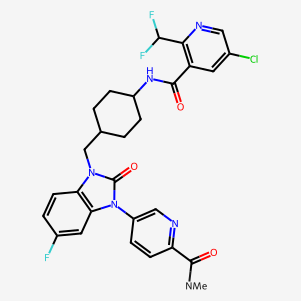 CNC(=O)c1ccc(-n2c(=O)n(CC3CCC(NC(=O)c4cc(Cl)cnc4C(F)F)CC3)c3ccc(F)cc32)cn1